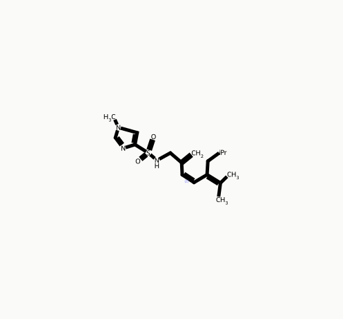 C=C(/C=C\C(CC(C)C)=C(C)C)CNS(=O)(=O)c1cn(C)cn1